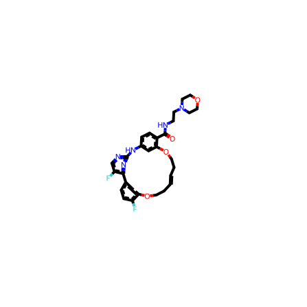 O=C(NCCN1CCOCC1)c1ccc2cc1OCC/C=C/CCOc1cc(ccc1F)-c1nc(ncc1F)N2